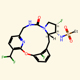 CCS(=O)(=O)N[C@H]1[C@@H](F)CN2C(=O)NCc3ccc(C(F)F)c(n3)Oc3cccc(c3F)C[C@@H]12